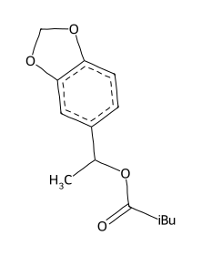 CCC(C)C(=O)OC(C)c1ccc2c(c1)OCO2